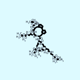 CC(C)(C)OC(=O)NCCC[C@H](NC(=O)[C@@H]1Cc2cccc(c2)-c2ccc(O)c(c2)C[C@H](NC(=O)OC(C)(C)C)C(=O)N[C@@H](C[C@@H](O)CNC(=O)OC(C)(C)C)C(=O)N1)C(=O)NCCC[C@@H](CC(=O)NCCNC(=O)OC(C)(C)C)NC(=O)OC(C)(C)C